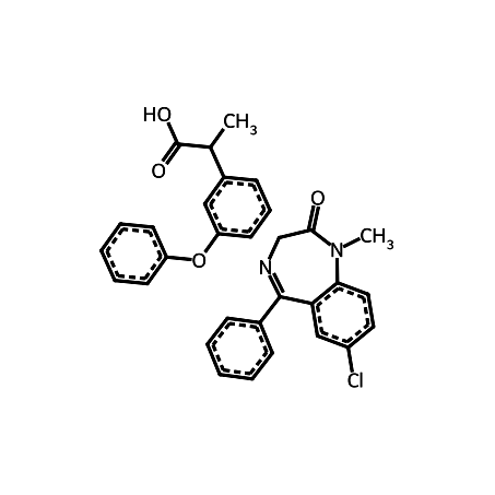 CC(C(=O)O)c1cccc(Oc2ccccc2)c1.CN1C(=O)CN=C(c2ccccc2)c2cc(Cl)ccc21